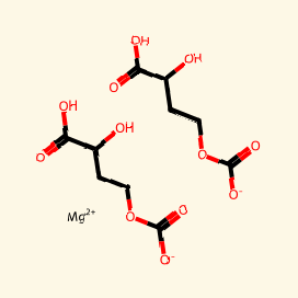 O=C([O-])OCCC(O)C(=O)O.O=C([O-])OCCC(O)C(=O)O.[Mg+2]